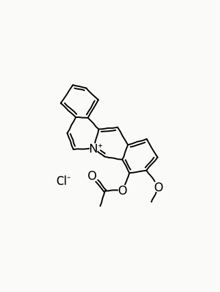 COc1ccc2cc3c4ccccc4cc[n+]3cc2c1OC(C)=O.[Cl-]